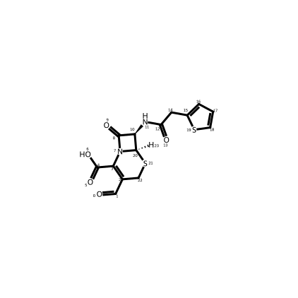 O=CC1=C(C(=O)O)N2C(=O)[C@@H](NC(=O)Cc3cccs3)[C@H]2SC1